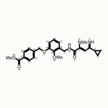 CN/C(=C\C(=N)C1CC1)C(=O)NCc1cccc(OCc2ccc(C(=O)OC)cc2)c1OC